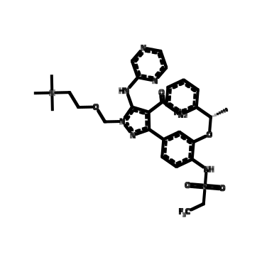 C[C@H](Oc1cc(-c2nn(COCC[Si](C)(C)C)c(Nc3cnccn3)c2C(N)=O)ccc1NS(=O)(=O)CC(F)(F)F)c1ccccn1